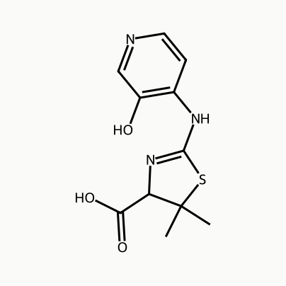 CC1(C)SC(Nc2ccncc2O)=NC1C(=O)O